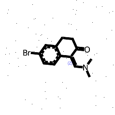 CN(C)/C=C1\C(=O)CCc2cc(Br)ccc21